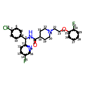 O=C(N[C@H](c1ccc(Cl)cc1)c1ccc(F)cn1)C1CCN(CCOc2ccccc2F)CC1